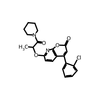 CC(Oc1ccc2c(-c3ccccc3Cl)cc(=O)oc2n1)C(=O)N1CCCCC1